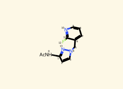 CC(=O)Nc1ccn(Cc2cccnc2F)n1